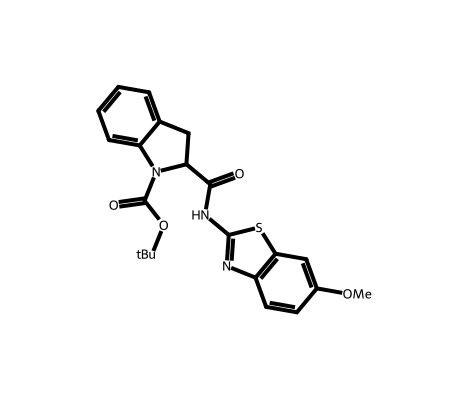 COc1ccc2nc(NC(=O)C3Cc4ccccc4N3C(=O)OC(C)(C)C)sc2c1